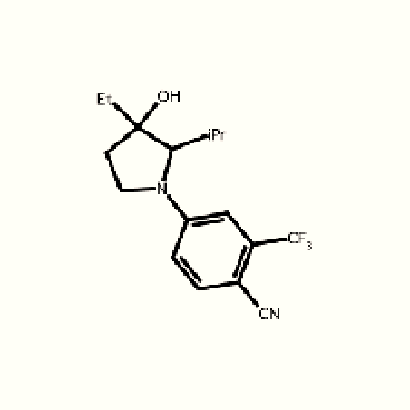 CCC1(O)CCN(c2ccc(C#N)c(C(F)(F)F)c2)C1C(C)C